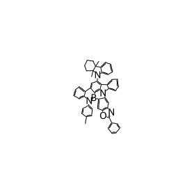 Cc1ccc(N2B3c4cc5oc(-c6ccccc6)nc5cc4-n4c5ccccc5c5c(N6c7ccccc7C7(C)CCCCC67C)cc(c3c54)-c3ccccc32)cc1